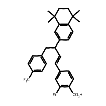 CCc1cc(/C=C/C(Cc2ccc(C(F)(F)F)cc2)c2ccc3c(c2)C(C)(C)CCC3(C)C)ccc1C(=O)O